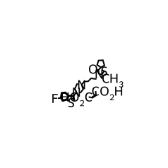 CC1SC2(CCCC2)C(=O)N1CCCCN1CCN(c2csc3cc(F)ccc23)CC1.O=C(O)/C=C\C(=O)O